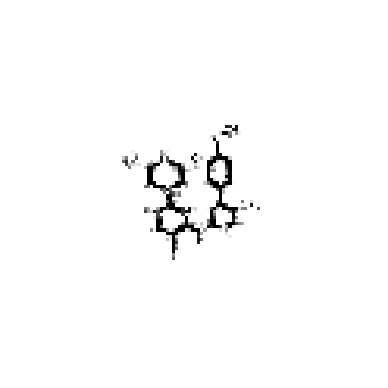 COc1ccc(-c2cc(Nc3nc(N4C[C@@H](C)O[C@@H](C)C4)ncc3F)nnc2C)cc1